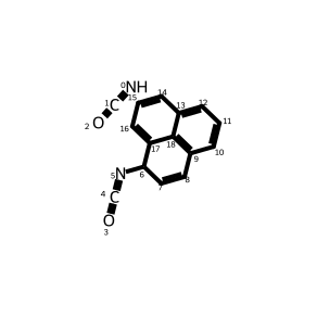 N=C=O.O=C=NC1C=Cc2cccc3cccc1c23